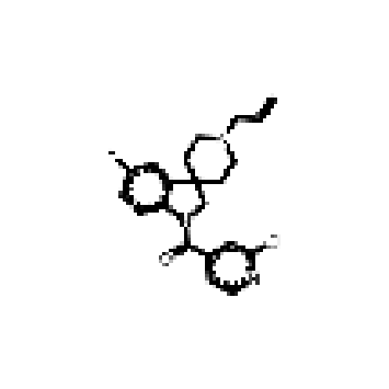 C=CCN1CCC2(CC1)CN(C(=O)c1ccnc(Cl)c1)c1ccc(F)cc12